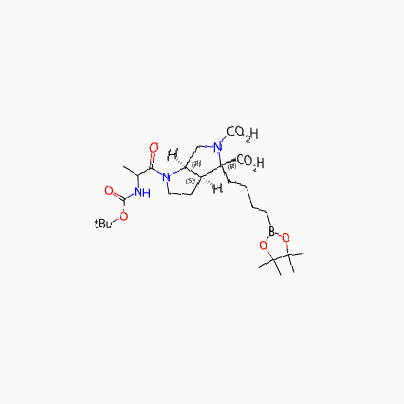 CC(NC(=O)OC(C)(C)C)C(=O)N1CC[C@H]2[C@@H]1CN(C(=O)O)[C@@]2(CCCCB1OC(C)(C)C(C)(C)O1)C(=O)O